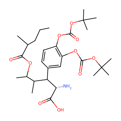 CCCC(C)C(=O)OC(C)C(C)C(c1ccc(OC(=O)OC(C)(C)C)c(OC(=O)OC(C)(C)C)c1)[C@H](N)C(=O)O